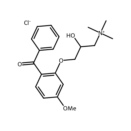 COc1ccc(C(=O)c2ccccc2)c(OCC(O)C[N+](C)(C)C)c1.[Cl-]